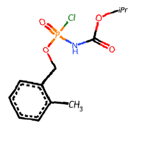 Cc1ccccc1COP(=O)(Cl)NC(=O)OC(C)C